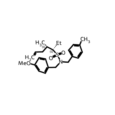 C=CC[C@H](C)[C@H](CC)S(=O)(=O)N(Cc1ccc(C)cc1)Cc1ccc(OC)cc1